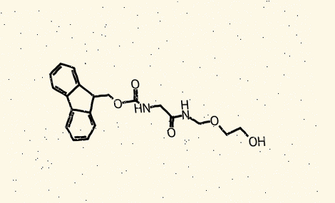 O=C(CNC(=O)OCC1c2ccccc2-c2ccccc21)NCOCCO